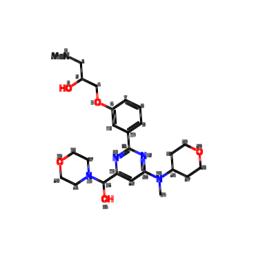 CNCC(O)COc1cccc(-c2nc(C(O)N3CCOCC3)cc(N(C)C3CCOCC3)n2)c1